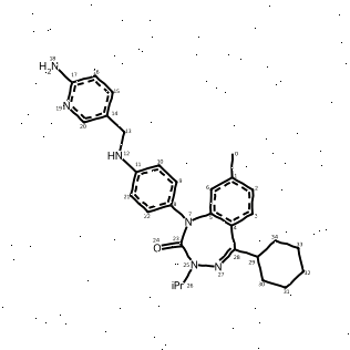 Cc1ccc2c(c1)N(c1ccc(NCc3ccc(N)nc3)cc1)C(=O)N(C(C)C)N=C2C1CCCCC1